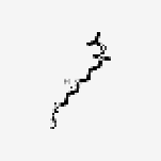 CC(C)O[Si](C)(C)CCC[SiH2]CCCN=C=O